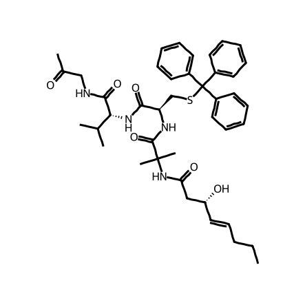 CCC/C=C/[C@@H](O)CC(=O)NC(C)(C)C(=O)N[C@H](CSC(c1ccccc1)(c1ccccc1)c1ccccc1)C(=O)N[C@@H](C(=O)NCC(C)=O)C(C)C